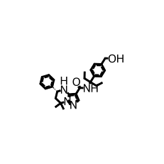 CCC(CC)(NC(=O)c1cnn2c1N[C@@H](c1ccccc1)CC2(C)C)c1ccc(CO)cc1